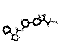 CNC(=O)c1n[nH]c2cc(-c3cncc(NC(=O)N4OCC[C@H]4c4ccccc4)c3)ccc12